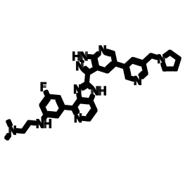 CN(C)CCNc1cc(F)cc(-c2nccc3[nH]c(-c4n[nH]c5ncc(-c6cncc(CN7CCCC7)c6)cc45)nc23)c1